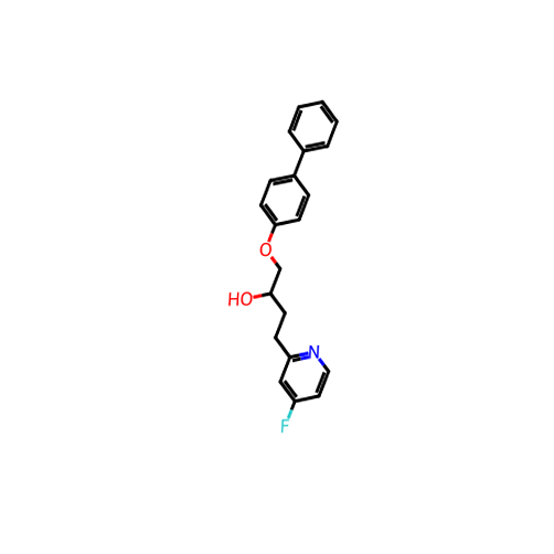 OC(CCc1cc(F)ccn1)COc1ccc(-c2ccccc2)cc1